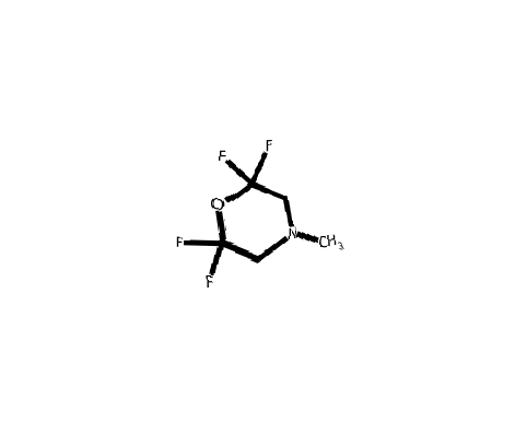 CN1CC(F)(F)OC(F)(F)C1